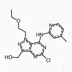 CCOCCn1nc(CO)c2nc(Cl)nc(Nc3cc(C)ccn3)c21